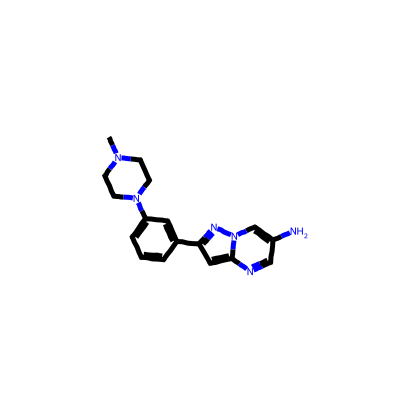 CN1CCN(c2cccc(-c3cc4ncc(N)cn4n3)c2)CC1